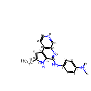 CN(C)c1ccc(Nc2nc3cnccc3c3cc(C(=O)O)[nH]c23)cc1